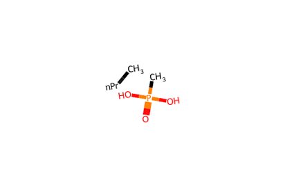 CCCC.CP(=O)(O)O